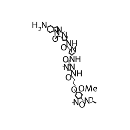 C=Nc1cc(OCCCC(=O)Nc2cn(C)c(C(=O)Nc3cc(C(=O)Nc4cc(C(=O)n5ncc6cc(N)ccc65)n(C)c4)n(C)c3)n2)c(OC)cc1C(=O)N1CCC(=C)C1